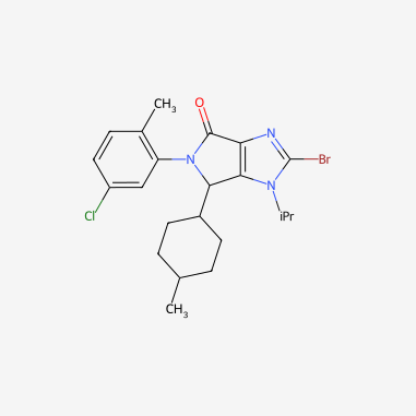 Cc1ccc(Cl)cc1N1C(=O)c2nc(Br)n(C(C)C)c2C1C1CCC(C)CC1